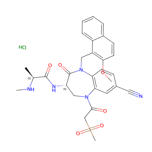 CN[C@@H](C)C(=O)N[C@H]1CN(C(=O)CS(C)(=O)=O)c2cc(C#N)ccc2N(Cc2c(OC)ccc3ccccc23)C1=O.Cl